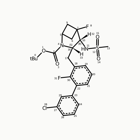 CC(C)(C)OC(=O)N1C2CC(F)(C2)[C@H](NS(C)(=O)=O)[C@@H]1Cc1cccc(-c2cccc(Cl)c2)c1F